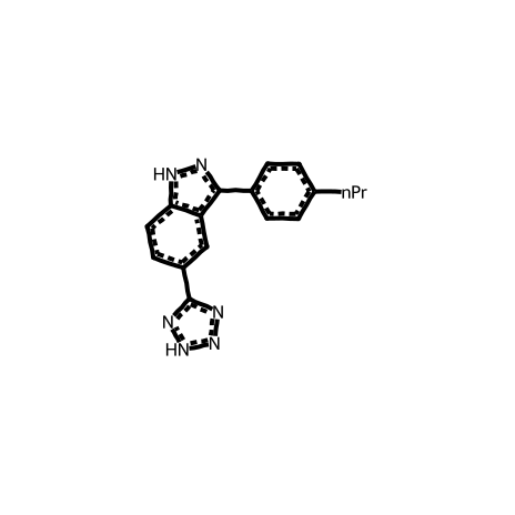 CCCc1ccc(-c2n[nH]c3ccc(-c4nn[nH]n4)cc23)cc1